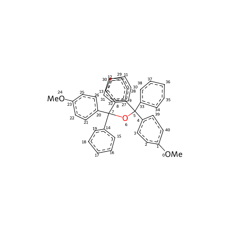 COc1ccc(C(OC(c2ccccc2)(c2ccccc2)c2ccc(OC)cc2)(c2ccccc2)c2ccccc2)cc1